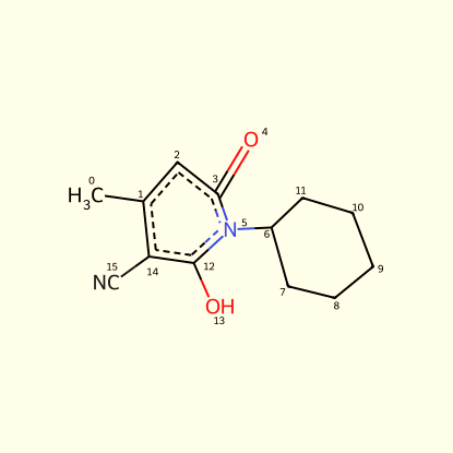 Cc1cc(=O)n(C2CCCCC2)c(O)c1C#N